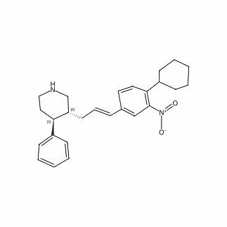 O=[N+]([O-])c1cc(C=CC[C@H]2CNCC[C@@H]2c2ccccc2)ccc1C1CCCCC1